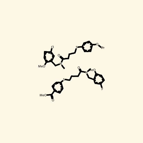 COC(=O)c1ccc(SCCCC(=O)N(C)Cc2cc(F)ccc2OC)cc1.COc1ccc(Cl)cc1CN(C)C(=O)CCCSc1ccc(OC(C)C)cc1